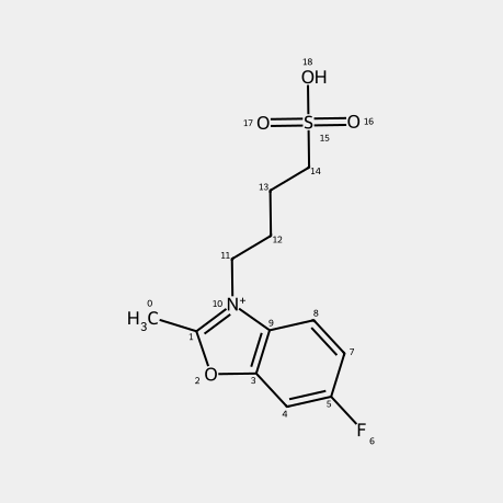 Cc1oc2cc(F)ccc2[n+]1CCCCS(=O)(=O)O